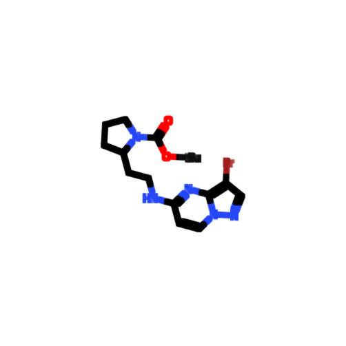 CC(C)(C)OC(=O)N1CCCC1CCNc1ccn2ncc(Br)c2n1